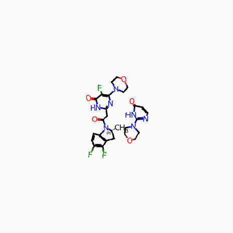 C[C@@H]1Cc2c(ccc(F)c2F)N1C(=O)Cc1nc(N2CCOCC2)c(F)c(=O)[nH]1.O=c1ccnc(N2CCOCC2)[nH]1